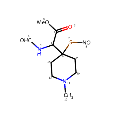 COC(=O)C(NC=O)C1(SN=O)CCN(C)CC1